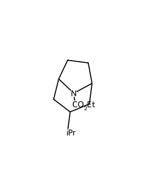 CCOC(=O)N1C2CCC1CC(C(C)C)C2